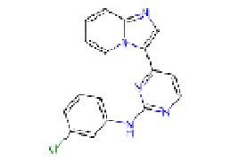 Clc1cccc(Nc2nccc(-c3cnc4ccccn34)n2)c1